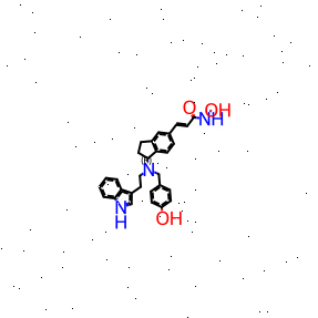 O=C(C=Cc1ccc2c(c1)CC[C@H]2N(CCc1c[nH]c2ccccc12)Cc1ccc(O)cc1)NO